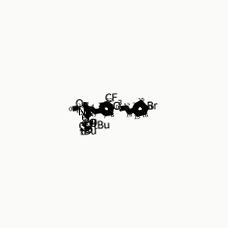 CC1=NC(CCc2ccc(OCCCc3ccc(Br)cc3)c(C(F)(F)F)c2)(COP(=O)(OC(C)(C)C)OC(C)(C)C)CO1